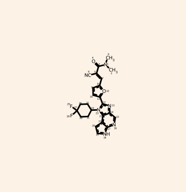 CN(C)C(=O)/C(C#N)=C/c1ccc(-c2nc3cnc4[nH]ccc4c3n2C2CCC(F)(F)CC2)o1